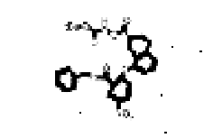 CC(C)(C)OC(=O)NOC(=O)[C@H]1CCc2cccc(Oc3ccc([N+](=O)[O-])cc3C(=O)OCc3ccccc3)c2C1